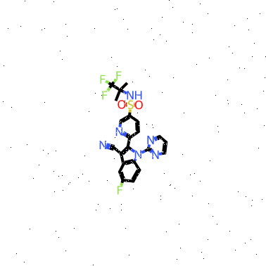 CC(C)(NS(=O)(=O)c1ccc(-c2c(C#N)c3cc(F)ccc3n2-c2ncccn2)nc1)C(F)(F)F